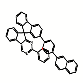 c1ccc(-c2ncc3c(n2)C2(c4ccccc4-c4ccc(-c5ccc(-c6ccc7ccccc7c6)cc5)cc42)c2ccccc2-3)cc1